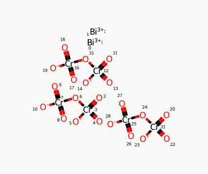 [Bi+3].[Bi+3].[O]=[Cr](=[O])([O-])[O][Cr](=[O])(=[O])[O-].[O]=[Cr](=[O])([O-])[O][Cr](=[O])(=[O])[O-].[O]=[Cr](=[O])([O-])[O][Cr](=[O])(=[O])[O-]